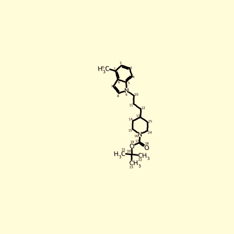 Cc1cccc2c1ccn2CCCC1CCN(C(=O)OC(C)(C)C)CC1